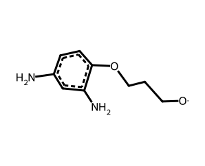 Nc1ccc(OCCC[O])c(N)c1